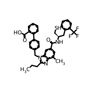 CCCc1nc2c(C)cc(C(=O)N[C@@H](CS)Cc3ccccc3C(F)(F)F)cc2n1Cc1ccc(-c2ccccc2C(=O)O)cc1